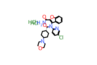 Cl.Cl.NC(=O)c1oc2ccccc2c1N(c1ccc(Cl)cn1)C(=O)[C@H]1CC[C@H](N2CCOCC2)CC1